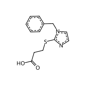 O=C(O)CCSc1nccn1Cc1ccccc1